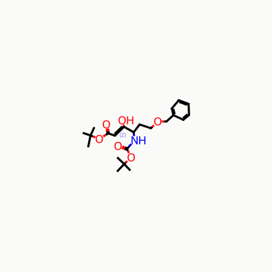 CC(C)(C)OC(=O)/C=C(\O)C(CCOCc1ccccc1)NC(=O)OC(C)(C)C